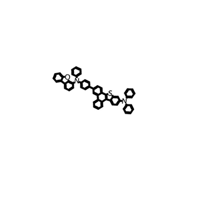 c1ccc(N(c2ccccc2)c2ccc3c(c2)sc2c4ccc(-c5ccc(N(c6ccccc6)c6cccc7c6oc6ccccc67)cc5)cc4c4ccccc4c32)cc1